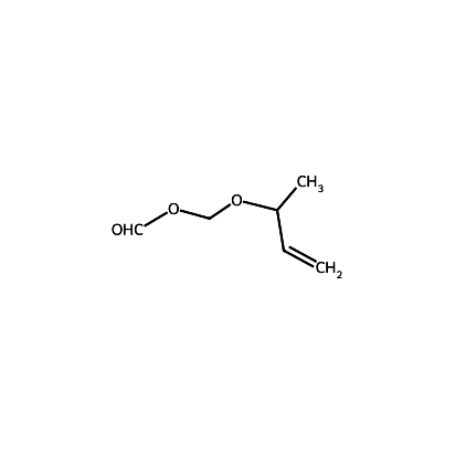 C=CC(C)OCOC=O